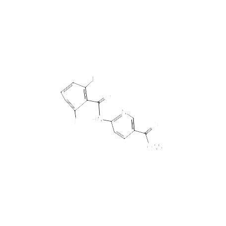 COC(=O)c1ccc(NC(=O)c2c(F)cccc2F)nc1